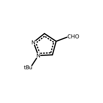 CC(C)(C)n1cc(C=O)cn1